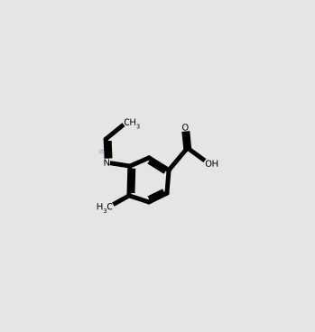 C/C=N\c1cc(C(=O)O)ccc1C